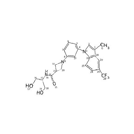 Cc1cn(-c2cccc(N3CC(C(=O)NC(CO)CO)C3)c2)c2ccc(C(F)(F)F)cc12